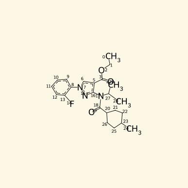 CCOC(=O)c1cn(-c2ccccc2F)nc1N(C(=O)C1CCC(C)CC1)C(C)C